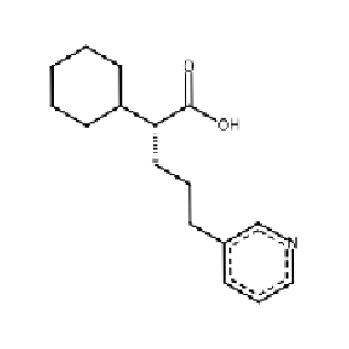 O=C(O)[C@H](CCCc1cccnc1)C1CCCCC1